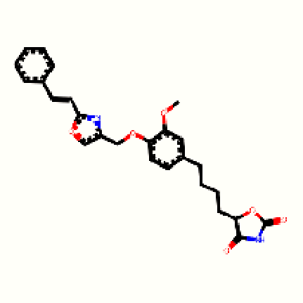 COc1cc(CCCCC2OC(=O)NC2=O)ccc1OCc1coc(/C=C/c2ccccc2)n1